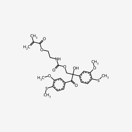 C=C(C)C(=O)OCCNC(=O)OCC(O)(C(=O)c1ccc(SC)c(OC)c1)c1ccc(SC)c(OC)c1